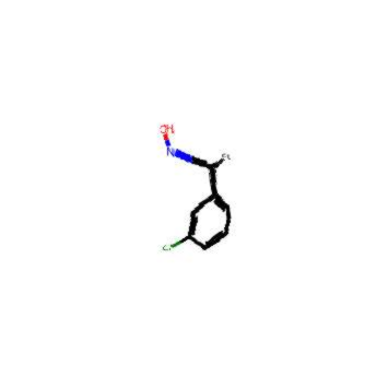 CCC(=NO)c1cccc(Cl)c1